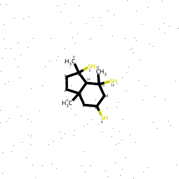 CC1(S)CCC2(C)CC(S)CC(C)(S)C12